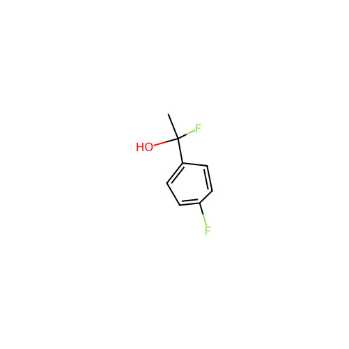 CC(O)(F)c1ccc(F)cc1